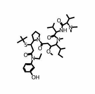 CCC(C)C(C(CC(=O)N1CCCC1C(CC(=O)N(CC)c1cccc(O)c1)SC(C)(C)C)OC)N(C)C(=O)C(NC(=O)C(C(C)C)N(C)C)C(C)C